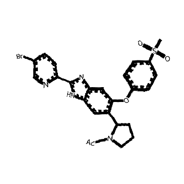 CC(=O)N1CCCC1c1cc2[nH]c(-c3ccc(Br)cn3)nc2cc1Oc1ccc(S(C)(=O)=O)cc1